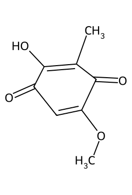 COC1=CC(=O)C(O)=C(C)C1=O